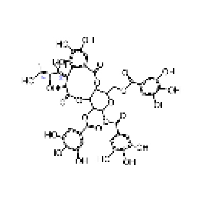 C=C1C(=O)OC2C(OC(=O)c3cc(O)c(O)c(O)c3/C1=C(O)/C(O)=C(\C)O)C(COC(=O)c1cc(O)c(O)c(O)c1)OC(OC(=O)c1cc(O)c(O)c(O)c1)C2OC(=O)c1cc(O)c(O)c(O)c1